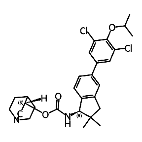 CC(C)Oc1c(Cl)cc(-c2ccc3c(c2)CC(C)(C)[C@H]3NC(=O)O[C@@H]2CN3CCC2CC3)cc1Cl